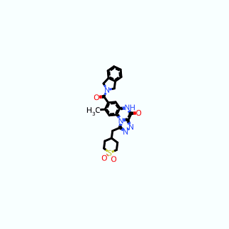 Cc1cc2c(cc1C(=O)N1Cc3ccccc3C1)[nH]c(=O)c1nnc(CC3CCS(=O)(=O)CC3)n12